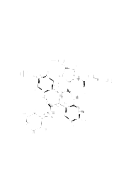 CC(C)(C)OC(=O)N1C[C@H](O)C[C@@H]1C(=O)N(c1ccc(C(C)(C)C)cc1)C(C(=O)NC1CCOCC1)c1cccnc1